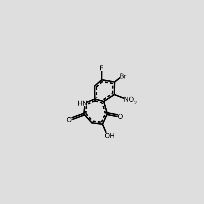 O=c1cc(O)c(=O)c2c([N+](=O)[O-])c(Br)c(F)cc2[nH]1